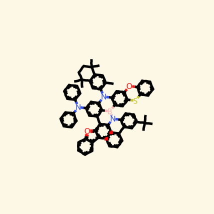 Cc1cc2c(cc1N1c3cc4c(cc3B3c5c(cc(N(c6ccccc6)c6ccccc6)cc51)-c1c(ccc5c1oc1ccccc15)N3c1ccc(C(C)(C)C)cc1-c1ccccc1)Sc1ccccc1O4)C(C)(C)CCC2(C)C